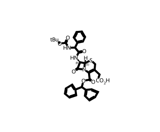 CC(C)(C)OC(=O)NC(C(=O)N[C@@H]1C(=O)N2C(C(=O)OC(c3ccccc3)c3ccccc3)=C(CC(=O)O)CS[C@@H]12)c1ccccc1